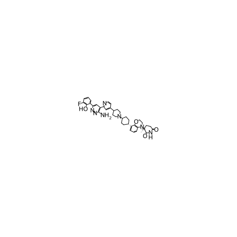 C[C@]1(N2CCOc3c2cccc3[C@H]2CC[C@H](N3CCC(c4ccnc(-c5cc(-c6cccc(F)c6O)nnc5N)c4)CC3)CC2)CCC(=O)NC1=O